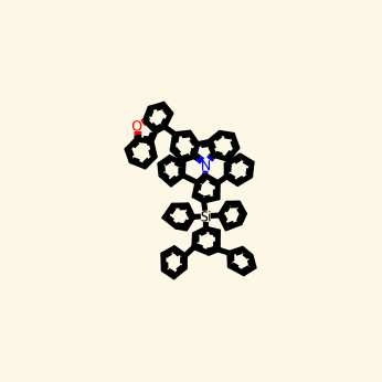 c1ccc(-c2cc(-c3ccccc3)cc([Si](c3ccccc3)(c3ccccc3)c3cc(-c4ccccc4)c(-n4c5ccccc5c5cc(-c6cccc7oc8ccccc8c67)ccc54)c(-c4ccccc4)c3)c2)cc1